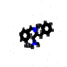 CCc1cccc(CN(C(C)C)[C@@H](Cc2ccccc2)CN(C)C)c1